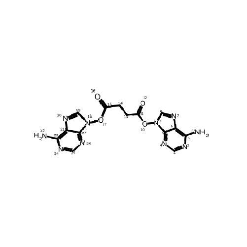 Nc1ncnc2c1ncn2OC(=O)CCC(=O)On1cnc2c(N)ncnc21